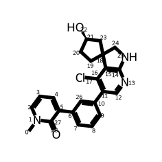 Cn1cccc(-c2cccc(-c3cnc4c(c3Cl)C3(CC[C@@H](O)C3)CN4)c2)c1=O